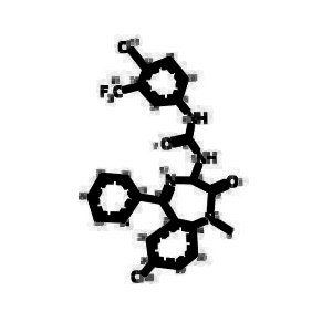 CN1C(=O)C(NC(=O)Nc2ccc(Cl)c(C(F)(F)F)c2)N=C(c2ccccc2)c2cc(Cl)ccc21